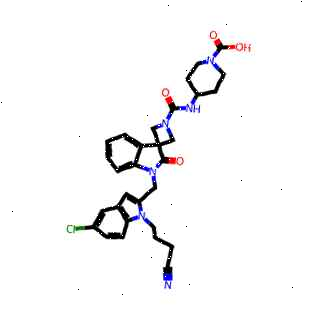 N#CCCCn1c(CN2C(=O)C3(CN(C(=O)NC4CCN(C(=O)O)CC4)C3)c3ccccc32)cc2cc(Cl)ccc21